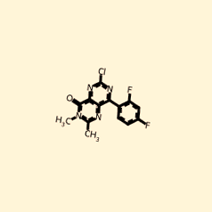 Cc1nc2c(-c3ccc(F)cc3F)nc(Cl)nc2c(=O)n1C